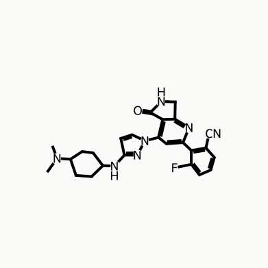 CN(C)C1CCC(Nc2ccn(-c3cc(-c4c(F)cccc4C#N)nc4c3C(=O)NC4)n2)CC1